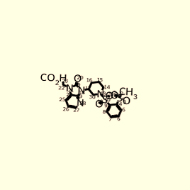 CS(=O)(=O)c1ccccc1S(=O)(=O)N1CCCC(n2c(=O)n(CC(=O)O)c3cccnc32)C1